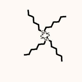 CCCCC[CH2][Sn]1([CH2]CCCCC)[S][Sn]([CH2]CCCCC)([CH2]CCCCC)[S]1